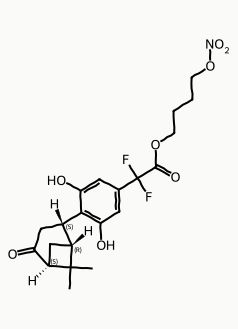 CC1(C)[C@@H]2C[C@@H]1[C@@H](c1c(O)cc(C(F)(F)C(=O)OCCCCO[N+](=O)[O-])cc1O)CC2=O